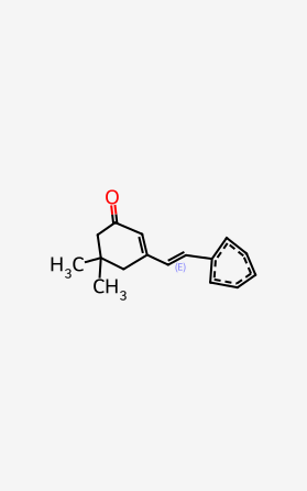 CC1(C)CC(=O)C=C(/C=C/c2ccccc2)C1